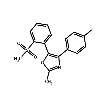 Cc1nc(-c2ccc(F)cc2)c(-c2ccccc2S(C)(=O)=O)o1